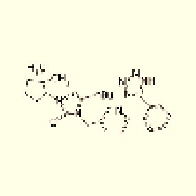 CCCCc1cn(C2CCCC2(C)C)c(=O)n1Cc1ccc(-c2ccccc2-c2nnn[nH]2)nc1